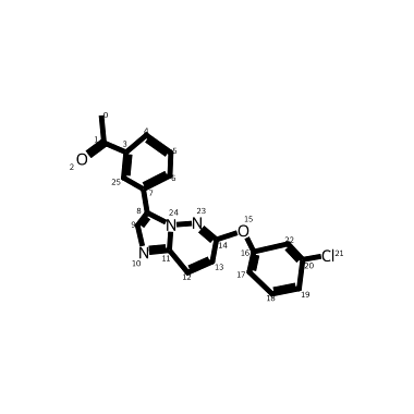 CC(=O)c1cccc(-c2cnc3ccc(Oc4cccc(Cl)c4)nn23)c1